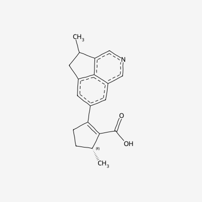 CC1Cc2cc(C3=C(C(=O)O)[C@H](C)CC3)cc3cncc1c23